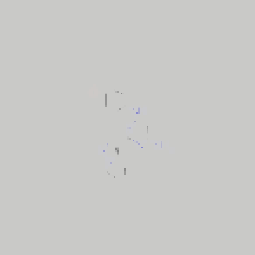 CCc1nn2ccc(F)cc2c1-c1nc(N)c(F)c(Nc2ccc(OC(F)F)cc2)n1